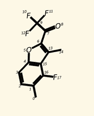 Cc1ccc2oc(C(=O)C(F)(F)F)c(C)c2c1F